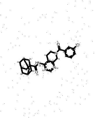 O=C(c1cccc(Cl)c1)N1CCc2c(ncnc2NC(=O)C23CC4CC(CC(C4)C2)C3)C1